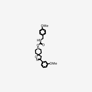 COc1ccc(CNC(=O)ON2CCC3(CC2)CC(c2cccc(OC)c2)=NO3)cc1